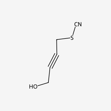 N#CSCC#CCO